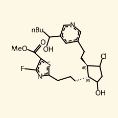 CCCCC(O)c1cncc(CC[C@H]2C(Cl)CC(O)[C@@H]2CCCc2nc(F)c(C(=O)OC)s2)c1